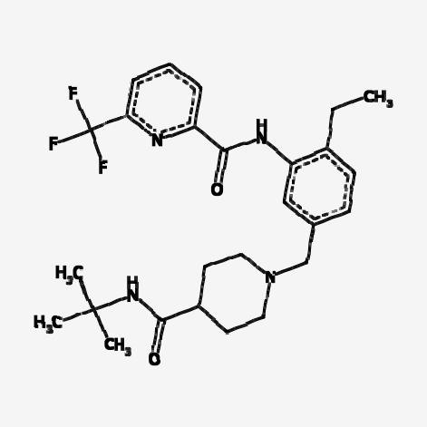 CCc1ccc(CN2CCC(C(=O)NC(C)(C)C)CC2)cc1NC(=O)c1cccc(C(F)(F)F)n1